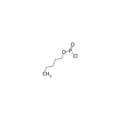 CCCCCO[P](=O)Cl